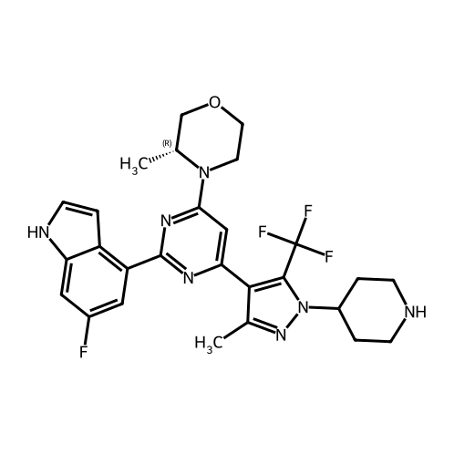 Cc1nn(C2CCNCC2)c(C(F)(F)F)c1-c1cc(N2CCOC[C@H]2C)nc(-c2cc(F)cc3[nH]ccc23)n1